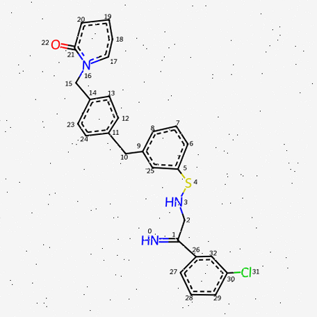 N=C(CNSc1cccc(Cc2ccc(Cn3ccccc3=O)cc2)c1)c1cccc(Cl)c1